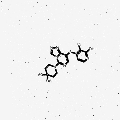 Oc1nccc(Sc2cnc(N3CCC(O)(O)CC3)n3cnnc23)c1Cl